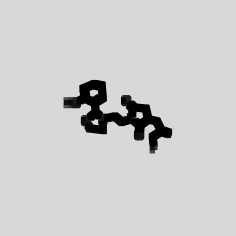 C=C(CF)CC1CC(=O)N(CCN2CCOC2c2ccccc2O)C1=O